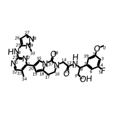 COc1cc(F)cc(C(CO)NC(=O)CN2CCc3cc(-c4nc(Nc5ccnn5C)ncc4C)cn3C2=O)c1